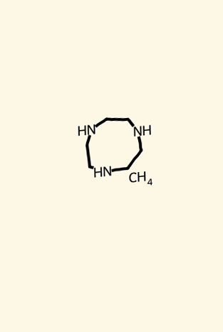 C.C1CNCCNCCN1